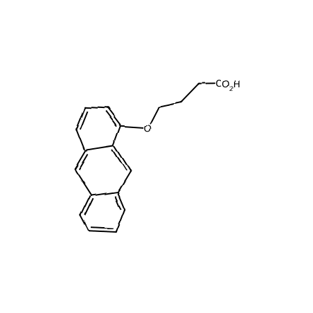 O=C(O)CCCOc1cccc2cc3ccccc3cc12